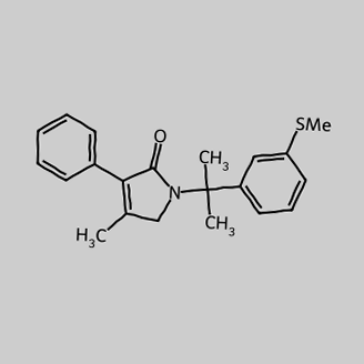 CSc1cccc(C(C)(C)N2CC(C)=C(c3ccccc3)C2=O)c1